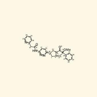 CO[C@@](C)(C(=O)N1CC[C@@H](c2ccc(NC(=O)Cc3ccccn3)nn2)C1)c1ccccc1